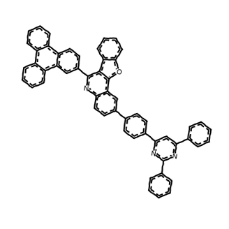 c1ccc(-c2cc(-c3ccc(-c4ccc5nc(-c6ccc7c8ccccc8c8ccccc8c7c6)c6c7ccccc7oc6c5c4)cc3)nc(-c3ccccc3)n2)cc1